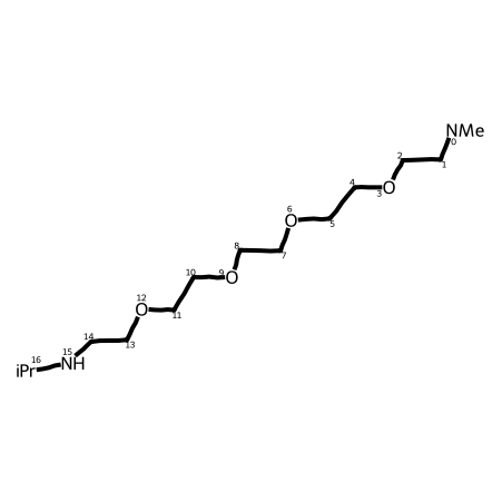 CNCCOCCOCCOCCOCCNC(C)C